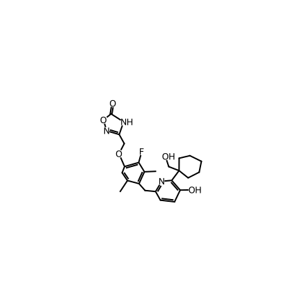 Cc1cc(OCc2noc(=O)[nH]2)c(F)c(C)c1Cc1ccc(O)c(C2(CO)CCCCC2)n1